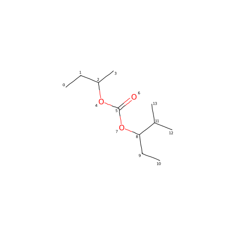 CCC(C)OC(=O)OC(CC)C(C)C